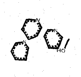 CO.c1ccncc1.c1ccncc1.c1ccncc1